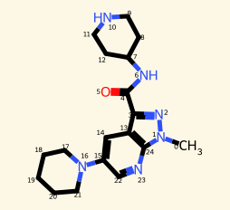 Cn1nc(C(=O)NC2CCNCC2)c2cc(N3CCCCC3)cnc21